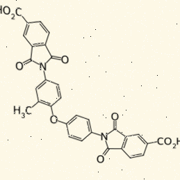 Cc1cc(N2C(=O)c3ccc(C(=O)O)cc3C2=O)ccc1Oc1ccc(N2C(=O)c3ccc(C(=O)O)cc3C2=O)cc1